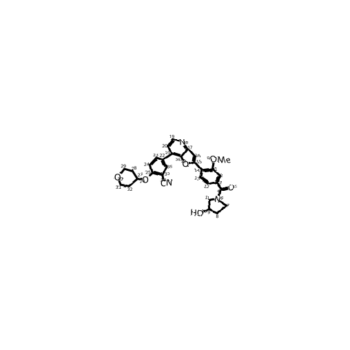 COc1cc(C(=O)N2CCC(O)C2)ccc1-c1cc2nccc(-c3ccc(OC4CCOCC4)c(C#N)c3)c2o1